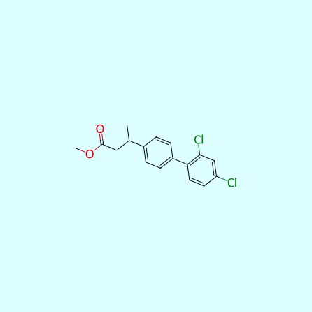 COC(=O)CC(C)c1ccc(-c2ccc(Cl)cc2Cl)cc1